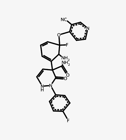 N#Cc1cnccc1OC1(F)C=CC=C(C2(C(N)=O)C=CNN(c3ccc(F)cc3)C2=O)C1N